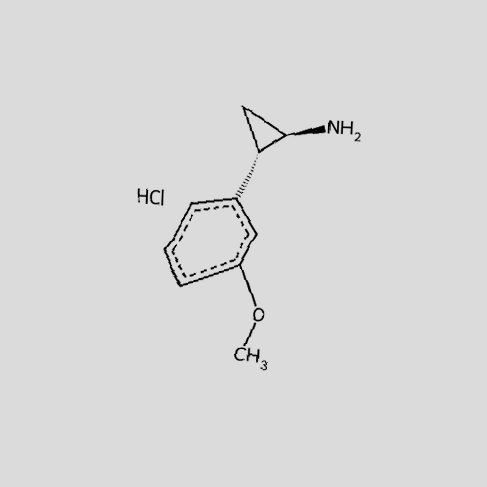 COc1cccc([C@@H]2C[C@H]2N)c1.Cl